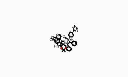 CC1(C)CCC2(CC1)N([C@H](c1ccccc1)[C@@H](O)c1ccccc1)[C@@H](C(=O)N[C@H]1CC[C@H](c3nnco3)CC1)[C@H](c1ccnc(Cl)c1F)C21C(=O)Nc2cc(Cl)ncc21